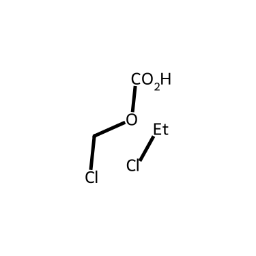 CCCl.O=C(O)OCCl